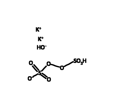 O=S(=O)([O-])OOS(=O)(=O)O.[K+].[K+].[OH-]